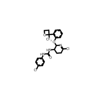 O=C(Nc1ccc(Cl)cc1)NC1CCC(Cl)=NC1Oc1ccccc1C1(C(F)(F)F)CCO1